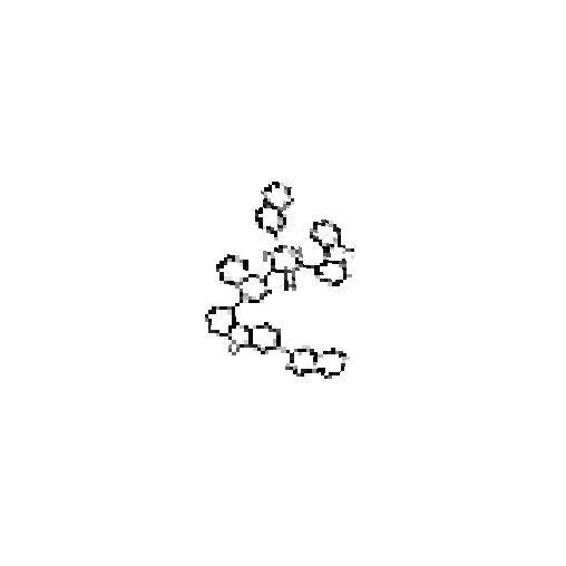 c1ccc2cc(C3=NC(c4ccc(-c5cccc6oc7cc(-c8ccc9ccccc9c8)ccc7c56)c5ccccc45)NC(c4cccc5oc6ccccc6c45)=N3)ccc2c1